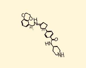 C[C@@H](N[C@H]1CC[C@@H](c2ccc(C(=O)NC3CCNCC3)cc2)C1)c1cccc2c1OCCO2